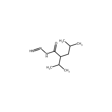 CC(C)CC(C(=O)NN=N)C(C)C